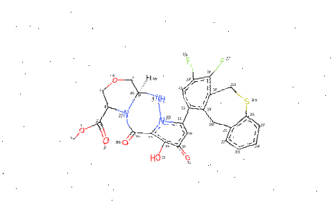 COC(=O)C1COC[C@H]2Nn3c(-c4cc(F)c(F)c5c4Cc4ccccc4SC5)cc(=O)c(O)c3C(=O)N12